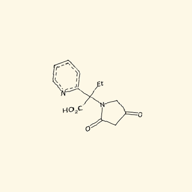 CCC(C(=O)O)(c1ccccn1)N1CC(=O)CC1=O